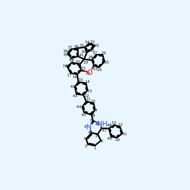 C1=CCC2C(=C1)N=C(c1ccc(-c3ccc(-c4cccc5c4Oc4ccccc4C54c5ccccc5-c5ccccc54)cc3)cc1)NC2c1ccccc1